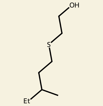 CCC(C)CCSCCO